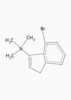 C[Si](C)(C)C1=CCc2cccc(Br)c21